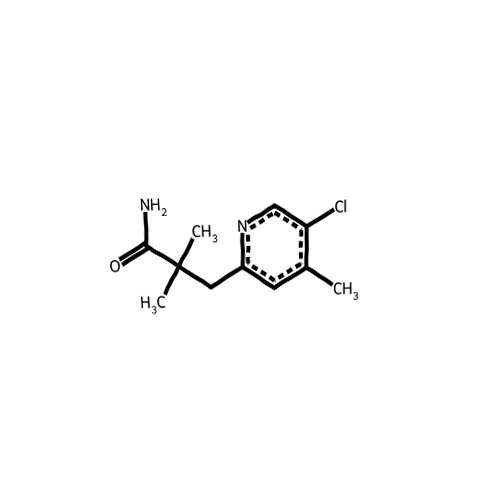 Cc1cc(CC(C)(C)C(N)=O)ncc1Cl